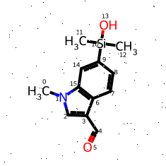 Cn1cc(C=O)c2ccc([Si](C)(C)O)cc21